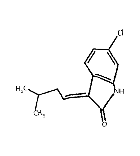 CC(C)C/C=C1/C(=O)Nc2cc(Cl)ccc21